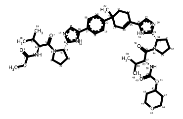 COC(=O)N[C@H](C(=O)N1CCC[C@H]1c1ncc(-c2ccc(C3(C)CC=C(c4cnc([C@@H]5CCCN5C(=O)[C@H](NC(=O)OC5CCOCC5)C(C)C)[nH]4)CC3)cc2)[nH]1)C(C)C